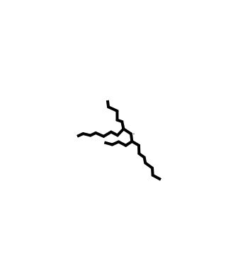 CCCCCCCC([CH]C(CCCCC)CCCCCCC)CCCC